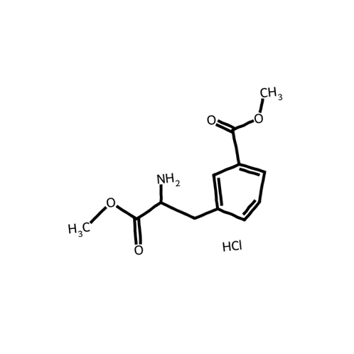 COC(=O)c1cccc(CC(N)C(=O)OC)c1.Cl